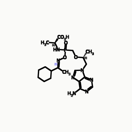 C/C(=N\OP(=O)(CO[C@H](C)Cn1cnc2c(N)ncnc21)N[C@@H](C)C(=O)O)C1CCCCC1